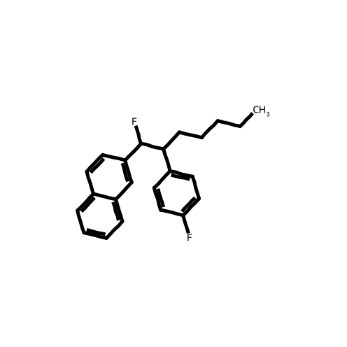 CCCCCC(c1ccc(F)cc1)C(F)c1ccc2ccccc2c1